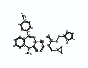 CN1C(=O)[C@@H](NC(=O)[C@H](CC2CC2)[C@@H](O)CCc2ccco2)N=C(c2ccc(C(F)(F)F)cc2)c2ccccc21